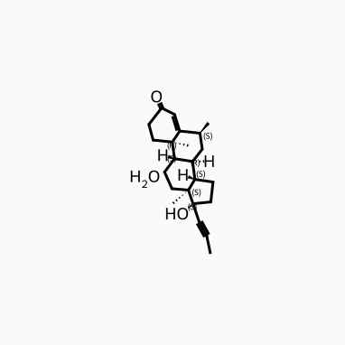 CC#C[C@]1(O)CC[C@H]2[C@@H]3C[C@H](C)C4=CC(=O)CC[C@]4(C)[C@H]3CC[C@@]21C.O